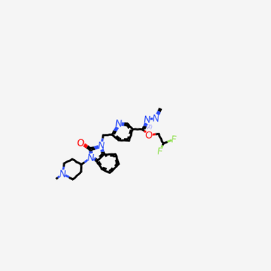 C=N/N=C(\OCC(F)F)c1ccc(Cn2c(=O)n(C3CCN(C)CC3)c3ccccc32)nc1